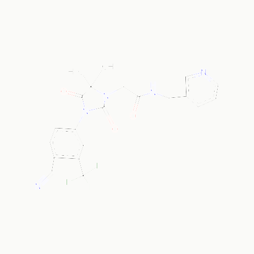 CC1(C)C(=O)N(c2ccc(C#N)c(C(F)(F)F)c2)C(=O)N1CC(=O)NCc1cccnc1